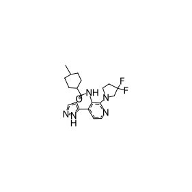 CC1CCC(C(=O)Nc2c(-c3ccn[nH]3)ccnc2N2CCC(F)(F)C2)CC1